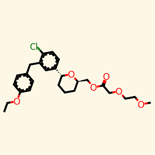 CCOc1ccc(Cc2cc([C@H]3CCC[C@H](COC(=O)COCCOC)O3)ccc2Cl)cc1